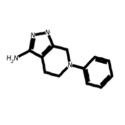 NC1=N[N]C2=C1CCN(c1ccccc1)C2